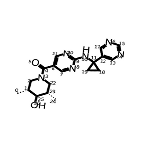 C[C@@H]1CN(C(=O)c2cnc(NC3(c4cncnc4)CC3)nc2)C[C@H](C)C1O